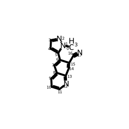 Cn1nccc1-c1cc2cccnc2cc1C#N